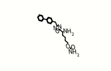 NC(=O)OCCCC[C@H](N)c1nc(Cc2ccc(-c3ccccc3)cc2)no1